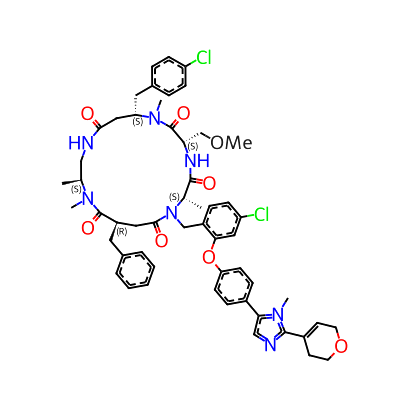 COC[C@@H]1NC(=O)[C@H](C)N(Cc2ccc(Cl)cc2Oc2ccc(-c3cnc(C4=CCOCC4)n3C)cc2)C(=O)C[C@@H](Cc2ccccc2)C(=O)N(C)[C@@H](C)CNC(=O)C[C@H](Cc2ccc(Cl)cc2)N(C)C1=O